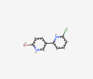 Clc1cc[c]c(-c2ccc(Br)nc2)n1